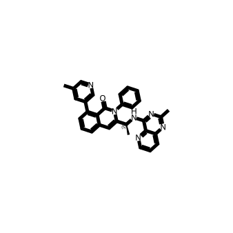 Cc1cncc(-c2cccc3cc([C@H](C)Nc4nc(C)nc5cccnc45)n(-c4ccccc4)c(=O)c23)c1